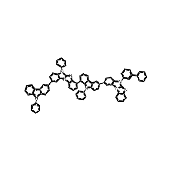 c1ccc(-c2cccc(-n3c4ccc(-c5ccc6c(c5)c5cccc(-c7cccc8c7nc7n(-c9ccccc9)c9ccc(-c%10ccc%11c(c%10)c%10ccccc%10n%11-c%10ccccc%10)cc9n87)c5n6-c5ccccc5)cc4n4c5ccccc5nc34)c2)cc1